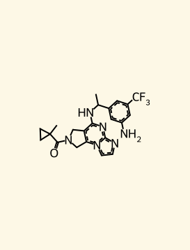 CC(Nc1nc2nccn2c2c1CN(C(=O)C1(C)CC1)C2)c1cc(N)cc(C(F)(F)F)c1